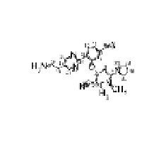 C=N/C(=C\C(Oc1cc(C#N)ccc1-c1ncc(CCN)cn1)=C(/C)C#N)N1CCCC1